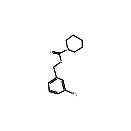 Nc1cccc(COC(=O)N2CCCCC2)c1